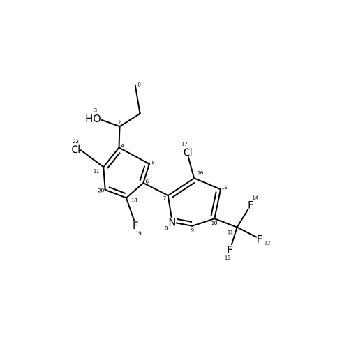 CCC(O)c1cc(-c2ncc(C(F)(F)F)cc2Cl)c(F)cc1Cl